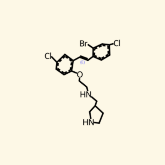 Clc1ccc(/C=C/c2cc(Cl)ccc2OCCNCC2CCNC2)c(Br)c1